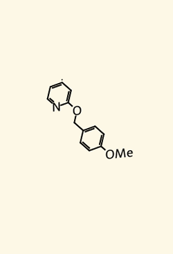 COc1ccc(COc2c[c]ccn2)cc1